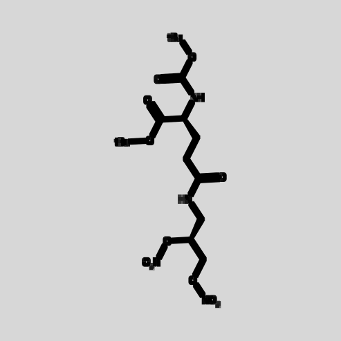 CC(C)(C)OC(=O)N[C@@H](CCC(=O)NC[C@@H](CO[N+](=O)[O-])O[N+](=O)[O-])C(=O)OC(C)(C)C